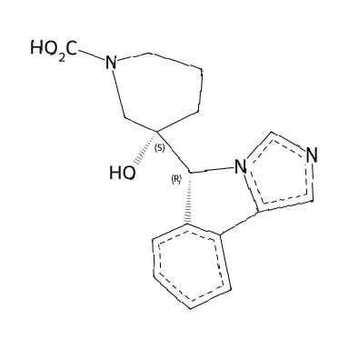 O=C(O)N1CCC[C@@](O)([C@H]2c3ccccc3-c3cncn32)C1